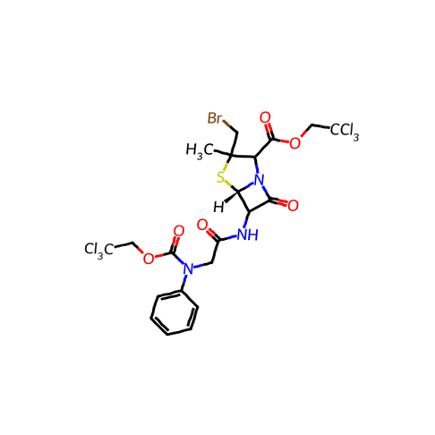 CC1(CBr)S[C@H]2C(NC(=O)CN(C(=O)OCC(Cl)(Cl)Cl)c3ccccc3)C(=O)N2C1C(=O)OCC(Cl)(Cl)Cl